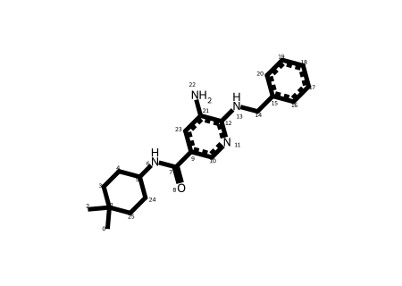 CC1(C)CCC(NC(=O)c2cnc(NCc3ccccc3)c(N)c2)CC1